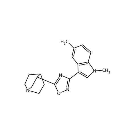 Cc1ccc2c(c1)c(-c1noc(C3CN4CCC3CC4)n1)cn2C